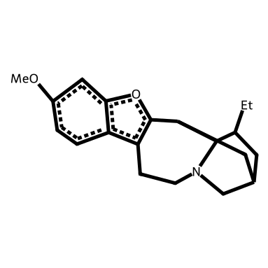 CCC1CC2CC3c4oc5cc(OC)ccc5c4CCN(C2)C13